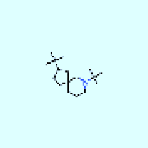 CC(C)(C)C1CCC2(CCCN(C(C)(C)C)C2)C1